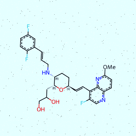 COc1ccc2ncc(F)c(C=C[C@@H]3CC[C@@H](NCC=Cc4cc(F)ccc4F)[C@@H](CC(O)CO)O3)c2n1